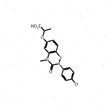 CC(Oc1ccc2c(c1)N(C)C(=O)N(c1ccc(Cl)cc1)S2)C(=O)O